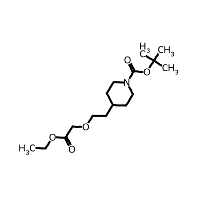 CCOC(=O)COCCC1CCN(C(=O)OC(C)(C)C)CC1